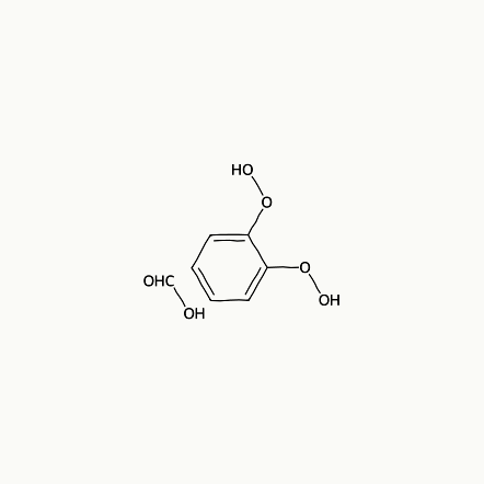 O=CO.OOc1ccccc1OO